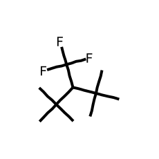 CC(C)(C)C(C(C)(C)C)C(F)(F)F